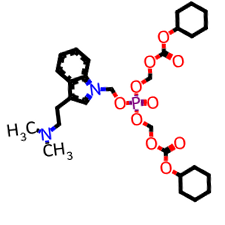 CN(C)CCc1cn(COP(=O)(OCOC(=O)OC2CCCCC2)OCOC(=O)OC2CCCCC2)c2ccccc12